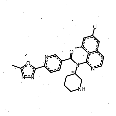 Cc1nnc(-c2ccc(C(=O)N(c3nccc4cc(Cl)cc(C)c34)[C@@H]3CCCNC3)cn2)o1